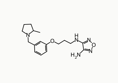 CC1CCCN1Cc1cccc(OCCCNc2nonc2N)c1